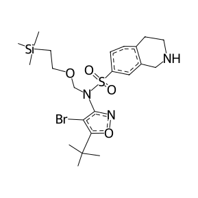 CC(C)(C)c1onc(N(COCC[Si](C)(C)C)S(=O)(=O)c2ccc3c(c2)CNCC3)c1Br